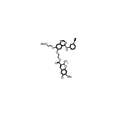 C#Cc1cccc(Nc2ncnc3cc(OCCOC)c(OCCOC(=O)C4=Cc5cc(Cl)c(C(C)(C)C)cc5OC4C(F)(F)F)cc23)c1